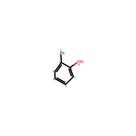 Oc1cccc[c]1[Zn]